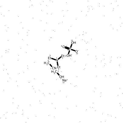 CC#N.CCN(CC)CC.CO.O=P([O-])(O)O.[Na+]